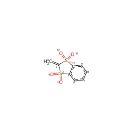 C=C1S(=O)(=O)c2ccccc2S1(=O)=O